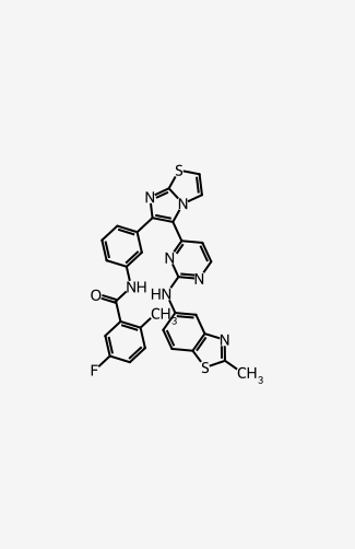 Cc1nc2cc(Nc3nccc(-c4c(-c5cccc(NC(=O)c6cc(F)ccc6C)c5)nc5sccn45)n3)ccc2s1